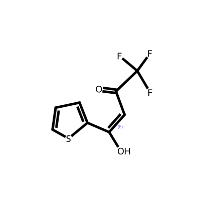 O=C(/C=C(/O)c1cccs1)C(F)(F)F